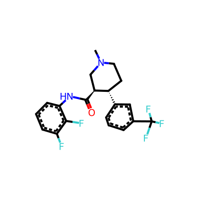 CN1CC[C@H](c2cccc(C(F)(F)F)c2)[C@@H](C(=O)Nc2cccc(F)c2F)C1